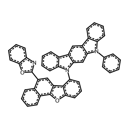 c1ccc(-n2c3ccccc3c3cc4c5ccccc5n(-c5cccc6oc7c8ccccc8c(-c8nc9ccccc9o8)cc7c56)c4cc32)cc1